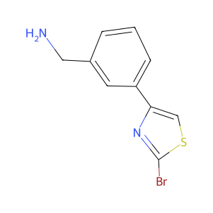 NCc1cccc(-c2csc(Br)n2)c1